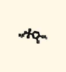 COS(=O)(=O)c1ccc(C)c(Cl)c1